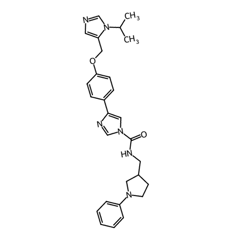 CC(C)n1cncc1COc1ccc(-c2cn(C(=O)NCC3CCN(c4ccccc4)C3)cn2)cc1